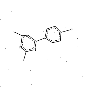 Cc1[c]c(-c2ccc(F)cc2)nc(C)n1